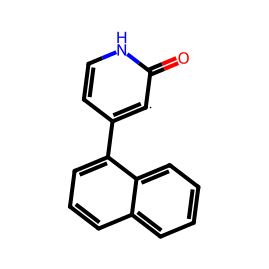 O=c1[c]c(-c2cccc3ccccc23)cc[nH]1